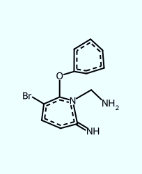 N=c1ccc(Br)c(Oc2ccccc2)n1CN